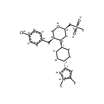 Cc1cc([C@H]2CC[C@H](N3C[C@H](CS(C)(=O)=O)OC[C@@H]3Cc3ccc(Cl)cc3)CC2)nn1C